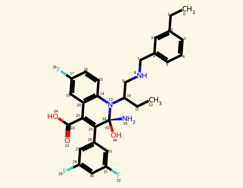 CCc1cccc(CNCC(CC)N2c3ccc(F)cc3C(C(=O)O)=C(c3cc(F)cc(F)c3)[C@@]2(N)O)c1